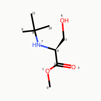 COC(=O)[C@H](CO)NC(C)(C)C